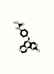 O=C(O)N[C@H]1CC[C@H](CN2CC3COCCN3c3nc(Cl)ncc32)CC1